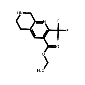 CCOC(=O)c1cc2c(nc1C(F)(F)F)CNCC2